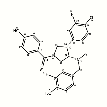 CN(Cc1ccc(C(F)(F)F)c(F)c1)[C@@H]1CN(C(=O)c2ccc(C#N)cc2)C[C@@H]1c1ccc(Cl)c(F)c1